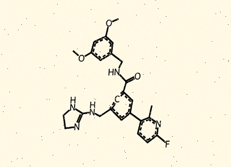 COc1cc(CNC(=O)c2cc(CNC3=NCCN3)cc(-c3ccc(F)nc3C)c2)cc(OC)c1